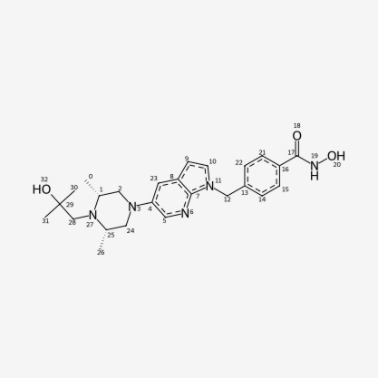 C[C@@H]1CN(c2cnc3c(ccn3Cc3ccc(C(=O)NO)cc3)c2)C[C@H](C)N1CC(C)(C)O